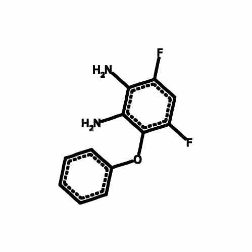 Nc1c(F)cc(F)c(Oc2ccccc2)c1N